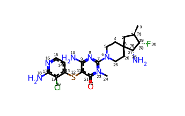 C[C@@H]1CC2(CCN(c3nc(N)c(Sc4ccnc(N)c4Cl)c(=O)n3C)CC2)[C@@H](N)[C@H]1F